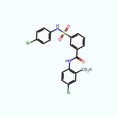 O=C(Nc1ccc(Br)cc1C(=O)O)c1cccc(S(=O)(=O)Nc2ccc(Br)cc2)c1